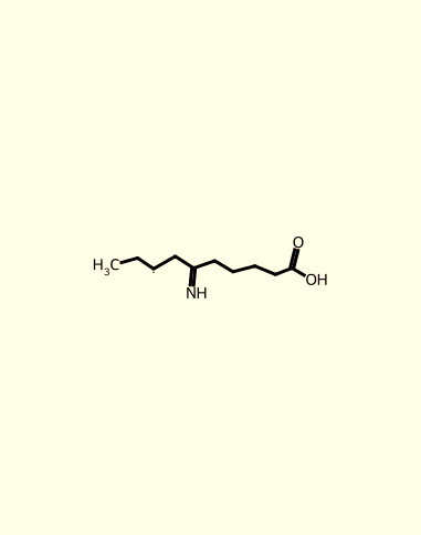 CC[CH]CC(=N)CCCCC(=O)O